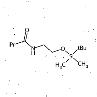 CC(C)C(=O)NCCO[Si](C)(C)C(C)(C)C